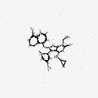 CC(C)Cn1c(=O)nc(NC2CC2)c2c(-c3cc(C#N)cn3C)n(Cc3ccnc4c(Cl)cccc34)nc21